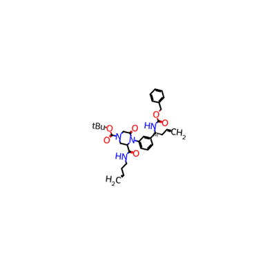 C=CCCNC(=O)C1CN(C(=O)OC(C)(C)C)CC(=O)N1c1cccc([C@H](CC=C)NC(=O)OCc2ccccc2)c1